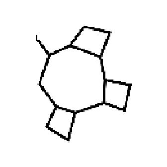 IC1CC2CCC2C2CCC2C2CCC12